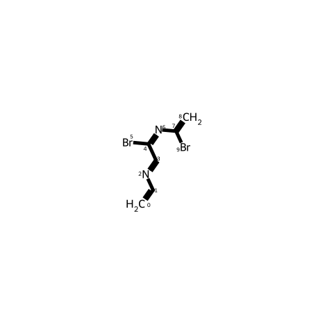 C=C/N=C/C(Br)=N\C(=C)Br